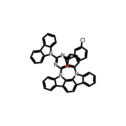 Clc1cccc(-c2nc(-n3c4ccccc4c4ccccc43)nc(-n3c4ccccc4c4ccc5c6ccccc6n(-c6ccccc6)c5c43)n2)c1